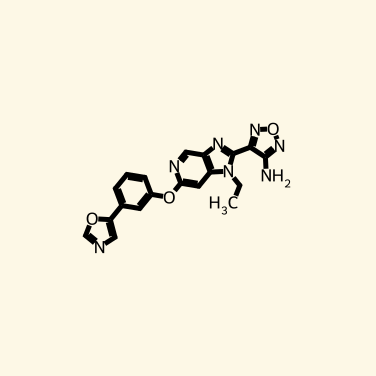 CCn1c(-c2nonc2N)nc2cnc(Oc3cccc(-c4cnco4)c3)cc21